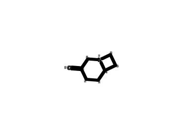 O=C1CCC2CCN2C1